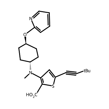 CN(c1cc(C#CC(C)(C)C)sc1C(=O)O)[C@H]1CC[C@H](Oc2ccccn2)CC1